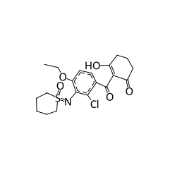 CCOc1ccc(C(=O)C2=C(O)CCCC2=O)c(Cl)c1N=S1(=O)CCCCC1